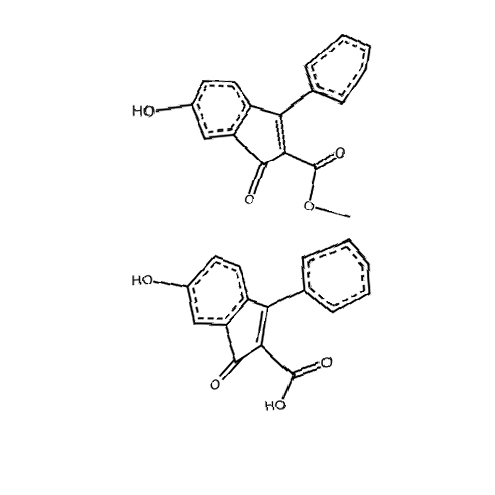 COC(=O)C1=C(c2ccccc2)c2ccc(O)cc2C1=O.O=C(O)C1=C(c2ccccc2)c2ccc(O)cc2C1=O